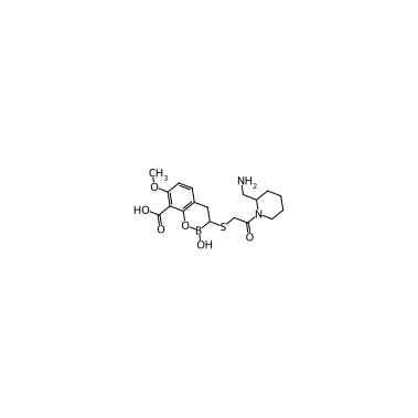 COc1ccc2c(c1C(=O)O)OB(O)C(SCC(=O)N1CCCCC1CN)C2